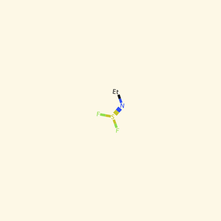 CCN=S(F)F